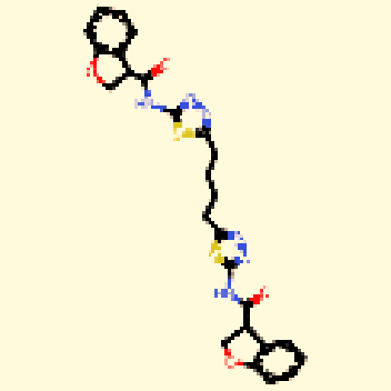 O=C(Nc1nnc(CCCCc2nnc(NC(=O)C3COc4ccccc43)s2)s1)C1COc2ccccc21